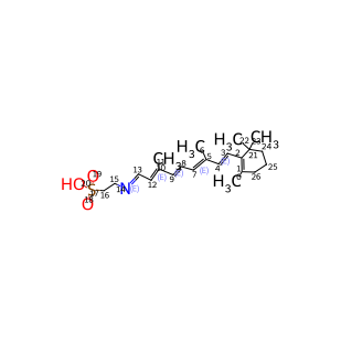 CC1=C(/C=C/C(C)=C/C=C/C(C)=C/C=N/CCS(=O)(=O)O)C(C)(C)CCC1